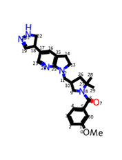 COc1cccc(C(=O)N2CC(CN3CCc4cc(C5C=NNC5)cnc43)CC2(C)C)c1